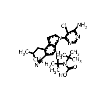 CC(C)(C)N(C(=O)O)C(C)(C)C.CC(C)Cc1c(C#N)ccc2c1ccn2-c1ncnc(N)c1Cl